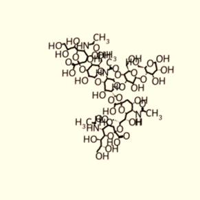 CC(=O)N[C@H]1[C@H](O[C@@H]2[C@H](O)[C@@H](O)[C@H](O[C@H]3[C@H](O)[C@@H](O)[C@H](O)O[C@@H]3CO)O[C@@H]2CO)O[C@H](CO[C@]2(C(=O)O)C[C@H](O)[C@@H](NC(C)=O)[C@H]([C@H](O)[C@@H](CO)O[C@]3(C(=O)O)C[C@H](O)[C@@H](NC(C)=O)[C@H]([C@H](O)[C@H](O)CO)O3)O2)[C@H](O)[C@@H]1O[C@@H]1O[C@H](CO)[C@H](O)[C@H](O[C@]2(C(=O)O)C[C@H](O)[C@@H](NC(C)=O)[C@H]([C@H](O)[C@H](O)CO)O2)[C@H]1O